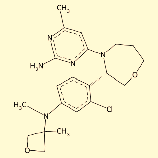 Cc1cc(N2CCCOC[C@@H]2c2ccc(N(C)C3(C)COC3)cc2Cl)nc(N)n1